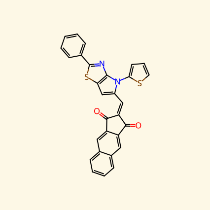 O=C1C(=Cc2cc3sc(-c4ccccc4)nc3n2-c2cccs2)C(=O)c2cc3ccccc3cc21